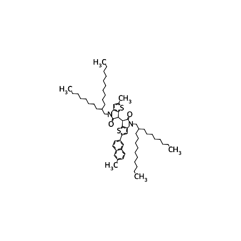 CCCCCCCCCCC(CCCCCCCC)CN1C(=O)C(C2C(=O)N(CC(CCCCCCCC)CCCCCCCCCC)c3cc(-c4ccc5cc(C)ccc5c4)sc32)c2sc(C)cc21